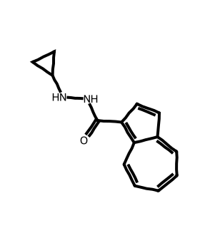 O=C(NNC1CC1)c1ccc2cccccc1-2